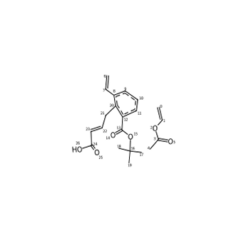 C=COC(C)=O.C=Cc1cccc(C(=O)OC(C)(C)C)c1C/C=C/C(=O)O